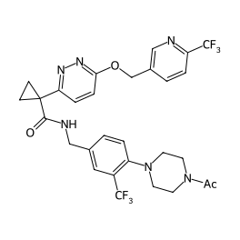 CC(=O)N1CCN(c2ccc(CNC(=O)C3(c4ccc(OCc5ccc(C(F)(F)F)nc5)nn4)CC3)cc2C(F)(F)F)CC1